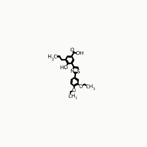 C=CCc1cc(C(=O)O)cc(-c2csc(-c3ccc(OCC)c(OCC)c3)n2)c1O